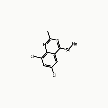 Cc1nc([Se][Na])c2cc(Cl)cc(Cl)c2n1